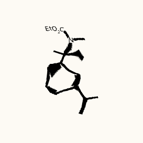 C=C(C)c1cccc(C(C)(C)N(C)C(=O)OCC)c1